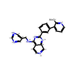 COc1ncccc1-c1cccc(-c2nc(NCc3cncnc3)c3ccncc3n2)c1